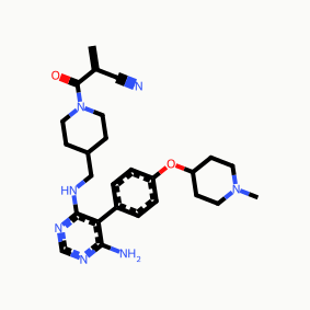 C=C(C#N)C(=O)N1CCC(CNc2ncnc(N)c2-c2ccc(OC3CCN(C)CC3)cc2)CC1